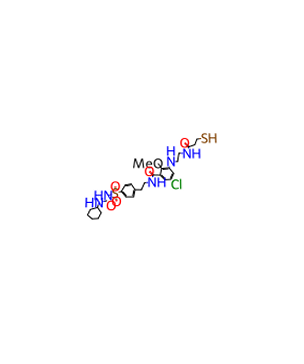 COc1c(NCCNC(=O)CCS)cc(Cl)cc1C(=O)NCCc1ccc(S(=O)(=O)NC(=O)NC2CCCCC2)cc1